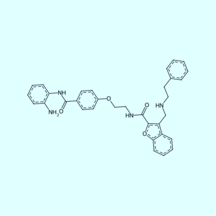 Nc1ccccc1NC(=O)c1ccc(OCCNC(=O)c2oc3ccccc3c2CNCCc2ccccc2)cc1